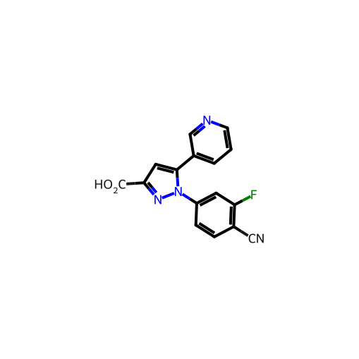 N#Cc1ccc(-n2nc(C(=O)O)cc2-c2cccnc2)cc1F